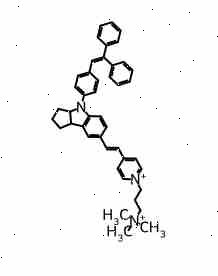 C[N+](C)(C)CCC[n+]1ccc(/C=C/c2ccc3c(c2)C2CCCC2N3c2ccc(C=C(c3ccccc3)c3ccccc3)cc2)cc1